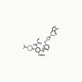 C=CC(=O)Nc1cc(Nc2nccc(OC3CN(C4C=c5cnn(C)c5=NC4)C3)n2)c(OC)cc1N1CCC(N(C)C)CC1